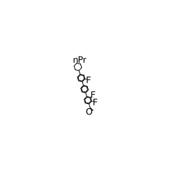 CCCC1CCC(c2ccc(-c3ccc(-c4ccc(C5CO5)c(F)c4F)cc3)c(F)c2)CC1